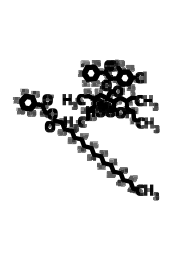 CCCCC(CC)CC(C(=O)O)C(CC(CC)CCCC)(C(=O)OC(C(=O)c1ccccc1)c1ccc(Cl)cc1Cl)S(=O)(=O)O.CCCCCCCCCCCCCCCCCC(=O)OCC(=O)c1ccccc1